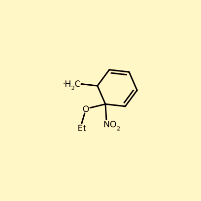 [CH2]C1C=CC=CC1(OCC)[N+](=O)[O-]